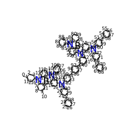 Cc1ccc(N2c3ccc(C)cc3B3c4ccc(N(c5ccc(-c6ccccc6)cc5)c5ccc(-c6ccc(-c7cccc(N8c9cc(N(c%10ccc(-c%11ccccc%11)cc%10)c%10ccc(-c%11ccccc%11)cc%10)ccc9B9c%10ccccc%10N(c%10ccccc%10)c%10cccc8c%109)c7)cc6)cc5)cc4N(c4ccccc4)c4cccc2c43)cc1